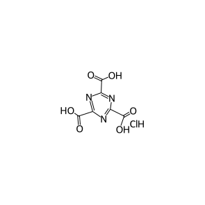 Cl.O=C(O)c1nc(C(=O)O)nc(C(=O)O)n1